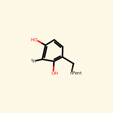 [2H]c1c(O)ccc(CCCCCC)c1O